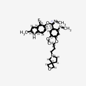 C=Nc1cc(OCCCN2CCC3(COC3)C2)c(OC)cc1/C(=N\C)Oc1ccc2[nH]c(C)cc2c1F